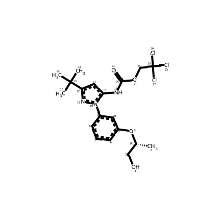 C[C@H](CO)Oc1cccc(-n2nc(C(C)(C)C)cc2NC(=O)OCC(Cl)(Cl)Cl)c1